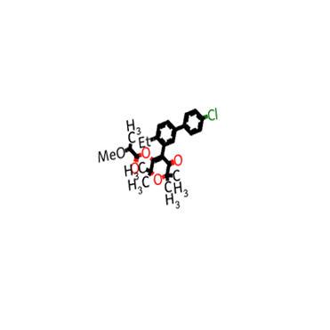 CCc1ccc(-c2ccc(Cl)cc2)cc1C1=C(OC(=O)C(C)OC)C(C)(C)OC(C)(C)C1=O